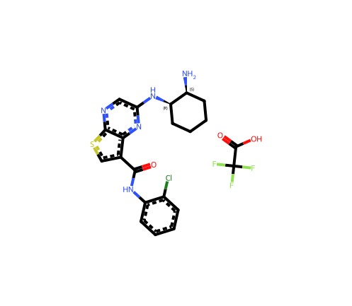 N[C@H]1CCCC[C@H]1Nc1cnc2scc(C(=O)Nc3ccccc3Cl)c2n1.O=C(O)C(F)(F)F